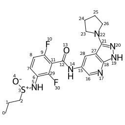 CCC[S+]([O-])Nc1ccc(F)c(C(=O)Nc2cnc3[nH]nc(N4CCCC4)c3c2)c1F